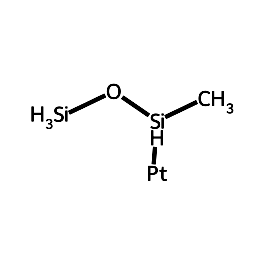 C[SiH]([Pt])O[SiH3]